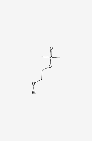 CCOCCOP(C)(C)=O